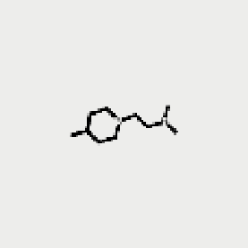 CC1CCN(CCN(C)C)CC1